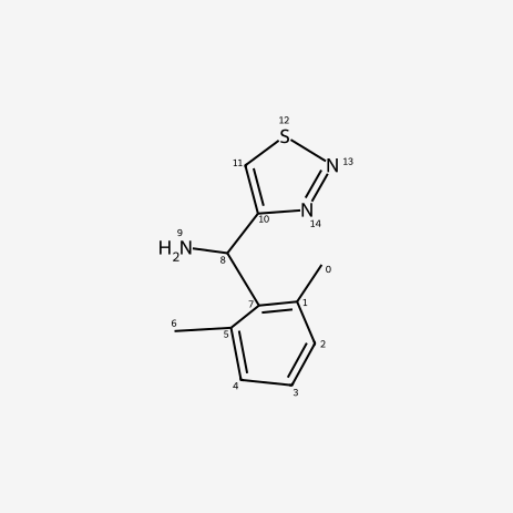 Cc1cccc(C)c1C(N)c1csnn1